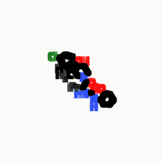 CC(C)[C@@H](NC(=O)NC1CCCCC1O)C(=O)N1CC[C@](O)(c2ccc(Cl)cc2)C(C)(C)C1